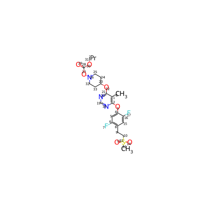 Cc1c(Oc2cc(F)c(CCS(C)(=O)=O)cc2F)ncnc1OC1CCN(OC(=O)OC(C)C)CC1